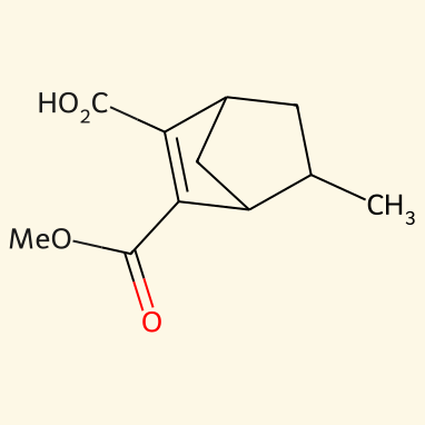 COC(=O)C1=C(C(=O)O)C2CC(C)C1C2